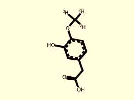 [2H]C([2H])([2H])Oc1ccc(CC(=O)O)cc1O